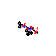 CC(C)(C)OC(=O)CC[C@H](NC(=O)[C@H](CSC(c1ccccc1)(c1ccccc1)c1ccccc1)NC(=O)CNC(=O)OCC1c2ccccc2-c2ccccc21)C(=O)O